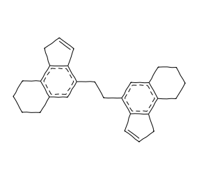 C1=Cc2c(CCc3cc4c(c5c3C=CC5)CCCC4)cc3c(c2C1)CCCC3